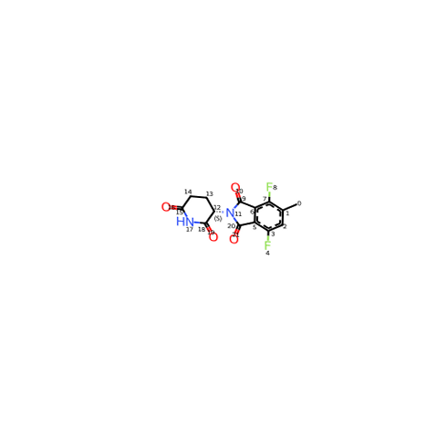 Cc1cc(F)c2c(c1F)C(=O)N([C@H]1CCC(=O)NC1=O)C2=O